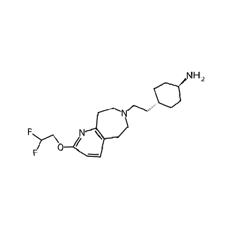 N[C@H]1CC[C@H](CCN2CCc3ccc(OCC(F)F)nc3CC2)CC1